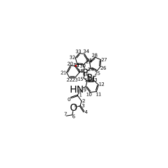 C=C(CC(=C)OCC)Nc1ccccc1CP(Br)(c1ccccc1)(c1ccccc1)c1ccccc1